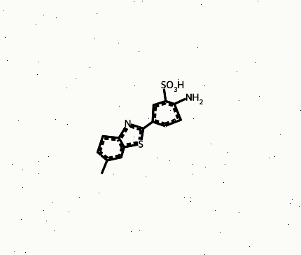 Cc1ccc2nc(-c3ccc(N)c(S(=O)(=O)O)c3)sc2c1